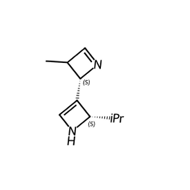 CC1C=N[C@@H]1C1=CN[C@H]1C(C)C